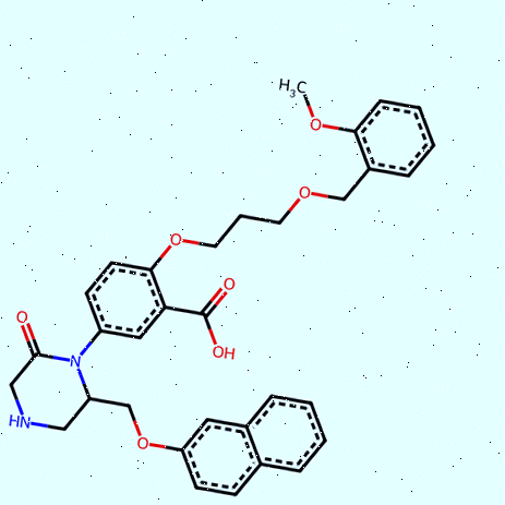 COc1ccccc1COCCCOc1ccc(N2C(=O)CNCC2COc2ccc3ccccc3c2)cc1C(=O)O